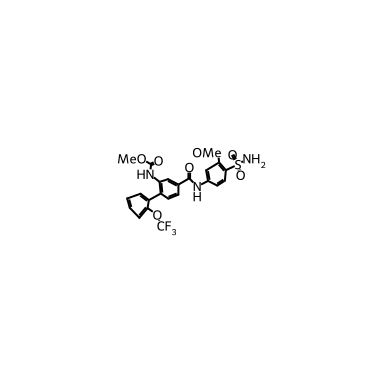 COC(=O)Nc1cc(C(=O)Nc2ccc(S(N)(=O)=O)c(OC)c2)ccc1-c1ccccc1OC(F)(F)F